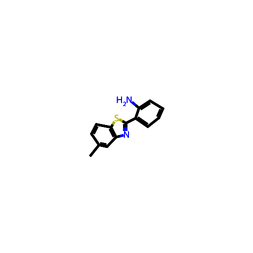 Cc1ccc2sc(-c3ccccc3N)nc2c1